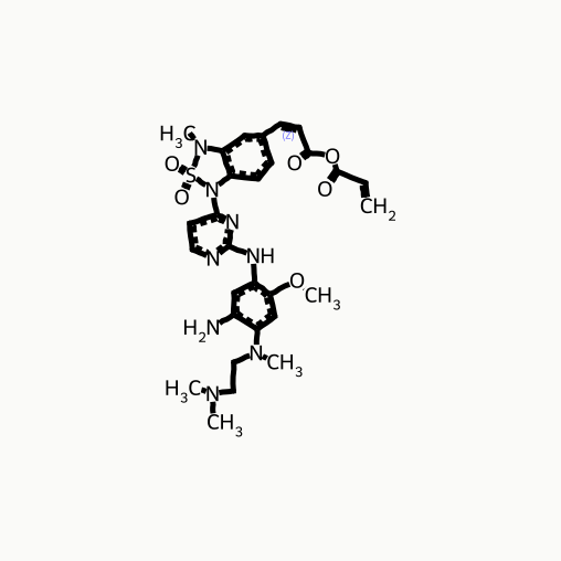 C=CC(=O)OC(=O)/C=C\c1ccc2c(c1)N(C)S(=O)(=O)N2c1ccnc(Nc2cc(N)c(N(C)CCN(C)C)cc2OC)n1